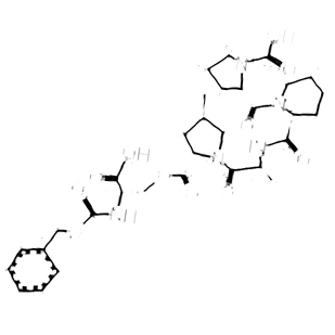 C[C@@H]1C[C@@H](C(=O)OC[C@H](NC(=O)OCc2ccccc2)C(=O)O)N(C(=O)[C@H](C)NC(=O)[C@@H]2CCCCN2C(=O)[C@@H]2CCCN2C(=O)O)C1